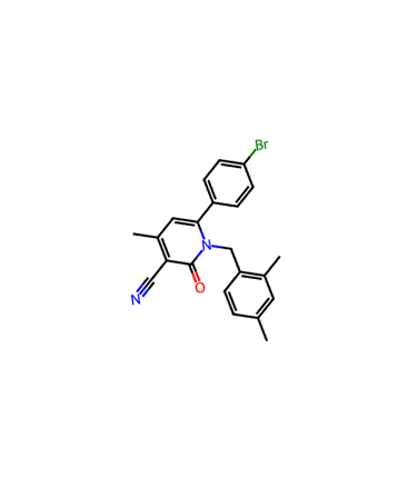 Cc1ccc(Cn2c(-c3ccc(Br)cc3)cc(C)c(C#N)c2=O)c(C)c1